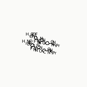 CC(C)c1noc(C2CCC(Oc3ncnc4c3nnn4-c3cc(F)c(S(C)(=O)=O)cc3F)CC2)n1.CC(C)c1noc(C2CCC(Oc3ncnc4c3nnn4-c3ccc(S(N)(=O)=O)cc3F)CC2)n1